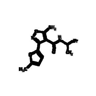 Cc1ccc(-c2noc(N)c2C(=O)NC(C)C(C)C)o1